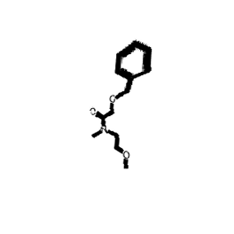 COCCN(C)C(=O)COCc1ccccc1